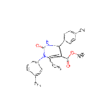 CCCOC(=O)C1=C(C)N(c2cccc(C(F)(F)F)c2)C(=O)NC1c1ccc(C#N)cc1